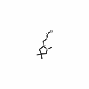 CCSOC[C@@H]1CC(C)(F)CN1C